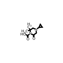 CC1(C)CN(C2CC2)CC(=O)N1C(=O)O